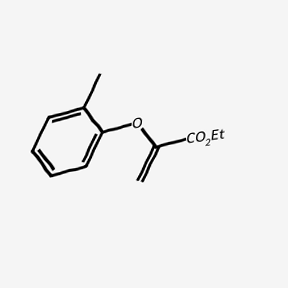 C=C(Oc1ccccc1C)C(=O)OCC